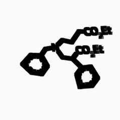 CCOC(=O)CCCN(Cc1ccccc1)CC(C(=O)OCC)c1ccccc1